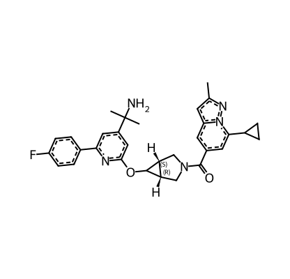 Cc1cc2cc(C(=O)N3C[C@@H]4C(Oc5cc(C(C)(C)N)cc(-c6ccc(F)cc6)n5)[C@@H]4C3)cc(C3CC3)n2n1